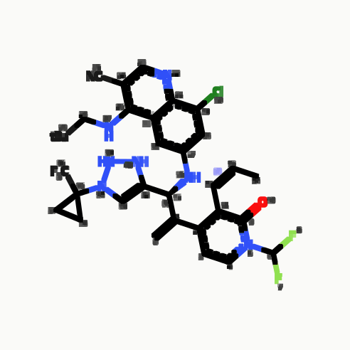 C=C(c1ccn(C(F)F)c(=O)c1/C=C\C)[C@H](Nc1cc(Cl)c2ncc(C#N)c(NCC(C)(C)C)c2c1)C1=CN(C2(C(F)(F)F)CC2)NN1